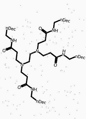 CCCCCCCCCCCNC(=O)CCN(CCC(=O)NCCCCCCCCCCC)CCN(CCC(=O)NCCCCCCCCCCC)CCC(=O)NCCCCCCCCCCC